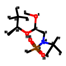 CO[C@H](CN(C(C)(C)C)S(C)(=O)=O)O[C@@H](C)C(C)(C)C